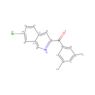 Cc1cc(C)cc(C(=O)c2cc3ccc(Br)cc3cn2)c1